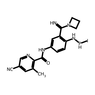 Cc1cc(C#N)cnc1C(=O)Nc1ccc(NPI)c(C(=N)N2CCC2)c1